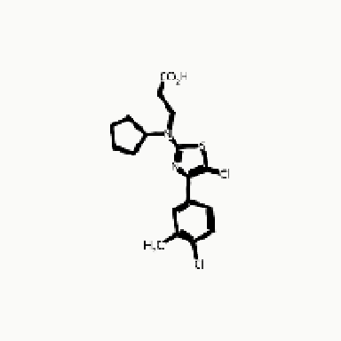 Cc1cc(-c2nc(N(CCC(=O)O)C3CCCC3)sc2Cl)ccc1Cl